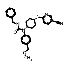 COCc1ccc(N(C(=O)NCc2ccccc2)[C@H]2CC[C@H](Nc3ccc(C#N)cn3)CC2)cc1